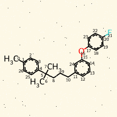 Cc1ccc(C(C)(C)CCCc2cccc(Oc3ccc(F)cc3)c2)cc1